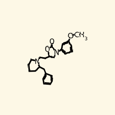 COc1cccc(N2CC(CCN3CCCCC3Cc3ccccc3)OC2=O)c1